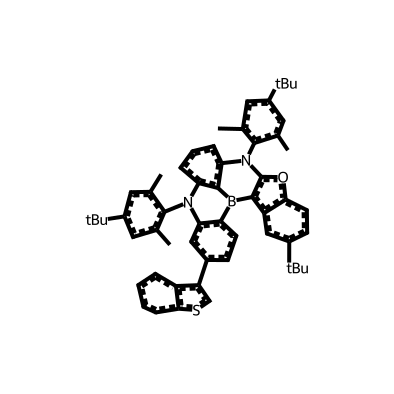 Cc1cc(C(C)(C)C)cc(C)c1N1c2cc(-c3csc4ccccc34)ccc2B2c3c1cccc3N(c1c(C)cc(C(C)(C)C)cc1C)c1oc3ccc(C(C)(C)C)cc3c12